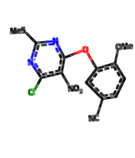 COc1ccc(C#N)cc1Oc1nc(SC)nc(Cl)c1[N+](=O)[O-]